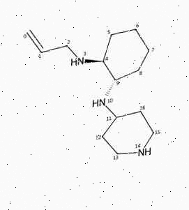 C=CCN[C@H]1CCCC[C@@H]1NC1CCNCC1